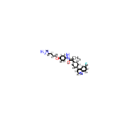 C[C@@H](C(=O)Nc1ccc(OCCCCN)cc1)[C@H]1CC[C@@H](c2ccnc3ccc(F)cc32)CC1